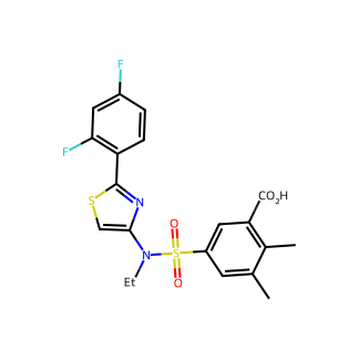 CCN(c1csc(-c2ccc(F)cc2F)n1)S(=O)(=O)c1cc(C)c(C)c(C(=O)O)c1